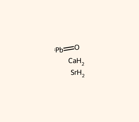 [CaH2].[O]=[Pb].[SrH2]